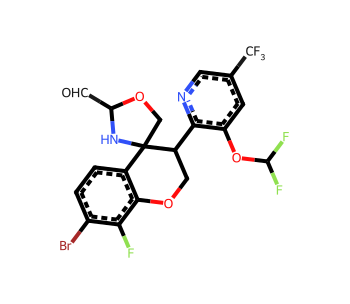 O=CC1NC2(CO1)c1ccc(Br)c(F)c1OCC2c1ncc(C(F)(F)F)cc1OC(F)F